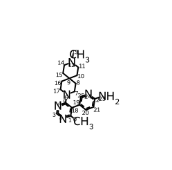 Cc1ncnc(N2CCC3(CCN(C)CC3)CC2)c1-c1ccc(N)nc1